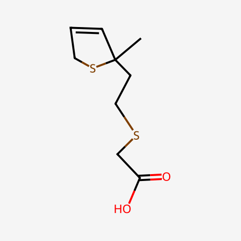 CC1(CCSCC(=O)O)C=CCS1